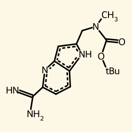 CN(Cc1cc2nc(C(=N)N)ccc2[nH]1)C(=O)OC(C)(C)C